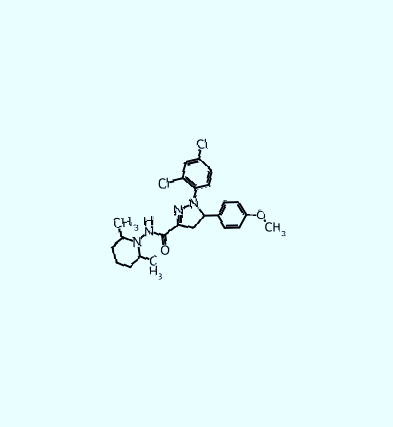 COc1ccc(C2CC(C(=O)NN3C(C)CCCC3C)=NN2c2ccc(Cl)cc2Cl)cc1